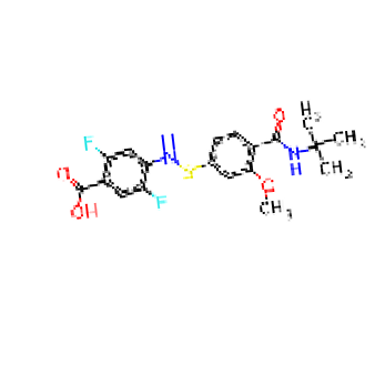 COc1cc(SNc2cc(F)c(C(=O)O)cc2F)ccc1C(=O)NC(C)(C)C